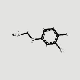 CCc1cc(OCC(=O)O)ccc1C